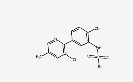 CCS(=O)(=O)Nc1cc(-c2ncc(C(F)(F)F)cc2Cl)ccc1C#N